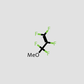 COC(F)(F)C(F)=C(F)F